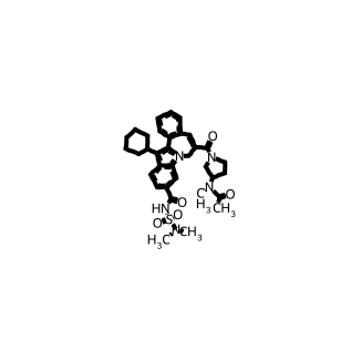 CC(=O)N(C)C1CCN(C(=O)C2=Cc3ccccc3-c3c(C4CCCCC4)c4ccc(C(=O)NS(=O)(=O)N(C)C)cc4n3C2)C1